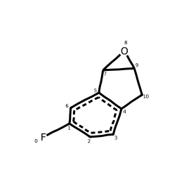 Fc1ccc2c(c1)C1OC1C2